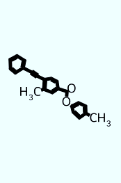 Cc1ccc(OC(=O)c2ccc(C#Cc3ccccc3)c(C)c2)cc1